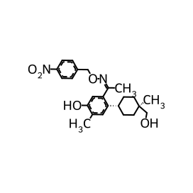 CC(=NOCc1ccc([N+](=O)[O-])cc1)c1cc(O)c(C)cc1[C@H]1CC[C@](C)(CO)CC1